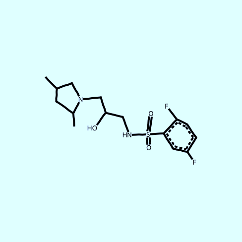 CC1CC(C)N(CC(O)CNS(=O)(=O)c2cc(F)ccc2F)C1